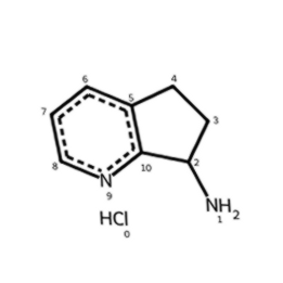 Cl.NC1CCc2cccnc21